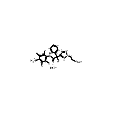 CCCCCCCCCCCCn1nnc(C(F)(C(=O)Nc2c(C)c(C)c(N)c(C)c2C)c2ccccc2)n1.Cl